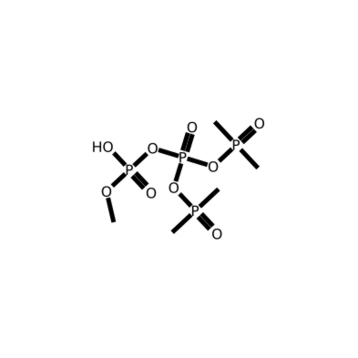 COP(=O)(O)OP(=O)(OP(C)(C)=O)OP(C)(C)=O